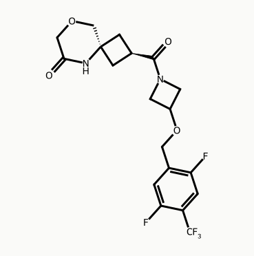 O=C1COC[C@]2(C[C@H](C(=O)N3CC(OCc4cc(F)c(C(F)(F)F)cc4F)C3)C2)N1